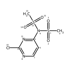 CS(=O)(=O)N(c1ccnc(Cl)n1)S(C)(=O)=O